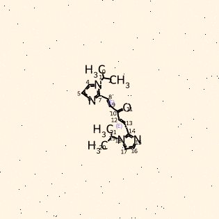 CC(C)n1ccnc1/C=C/C(=O)/C=C/c1nccn1C(C)C